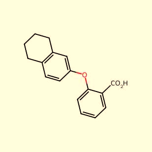 O=C(O)c1ccccc1Oc1ccc2c(c1)CCCC2